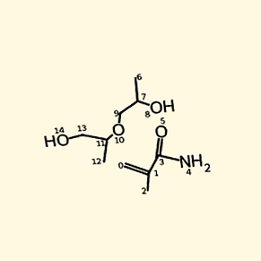 C=C(C)C(N)=O.CC(O)COC(C)CO